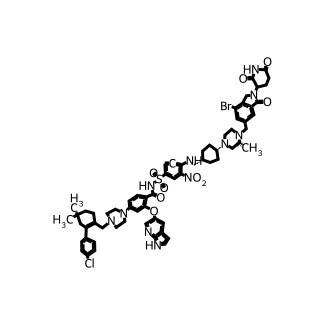 C[C@@H]1CN([C@H]2CC[C@@H](CNc3ccc(S(=O)(=O)NC(=O)c4ccc(N5CCN(CC6=C(c7ccc(Cl)cc7)CC(C)(C)CC6)CC5)cc4Oc4cnc5[nH]ccc5c4)cc3[N+](=O)[O-])CC2)CCN1Cc1cc(Br)c2c(c1)C(=O)N(C1CCC(=O)NC1=O)C2